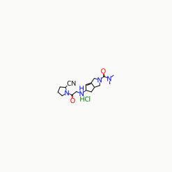 CN(C)C(=O)N1CC2=CC(NCC(=O)N3CCCC3C#N)CC2C1.Cl